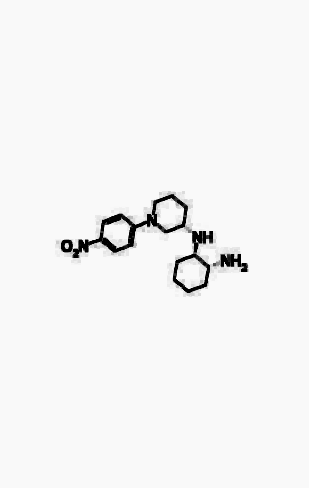 N[C@@H]1CCCC[C@H]1N[C@H]1CCCN(c2ccc([N+](=O)[O-])cc2)C1